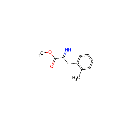 COC(=O)C(=N)Cc1ccccc1C